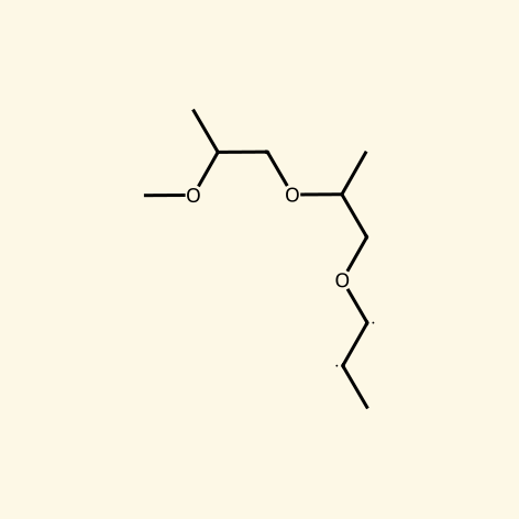 C[CH][CH]OCC(C)OCC(C)OC